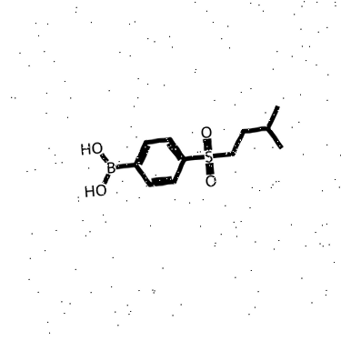 CC(C)CCS(=O)(=O)c1ccc(B(O)O)cc1